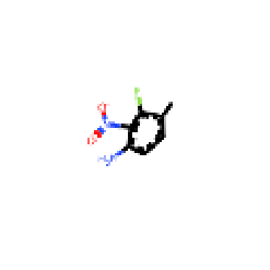 Cc1ccc(N)c([N+](=O)[O-])c1F